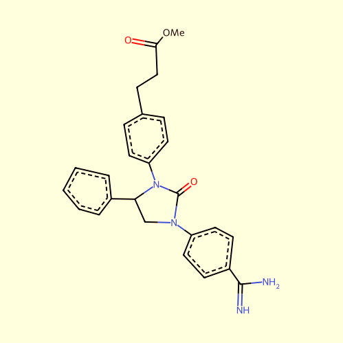 COC(=O)CCc1ccc(N2C(=O)N(c3ccc(C(=N)N)cc3)CC2c2ccccc2)cc1